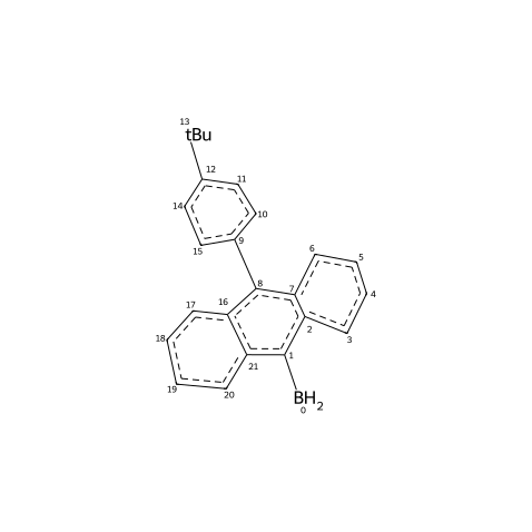 Bc1c2ccccc2c(-c2ccc(C(C)(C)C)cc2)c2ccccc12